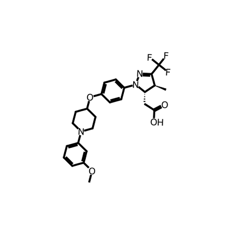 COc1cccc(N2CCC(Oc3ccc(N4N=C(C(F)(F)F)[C@@H](C)[C@@H]4CC(=O)O)cc3)CC2)c1